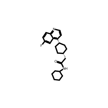 O=C(C[C@H]1CC[C@@H](c2ccnc3ccc(F)cc32)CC1)NC1CCCCC1